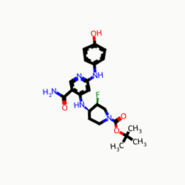 CC(C)(C)OC(=O)N1CC[C@@H](Nc2cc(Nc3ccc(O)cc3)ncc2C(N)=O)[C@@H](F)C1